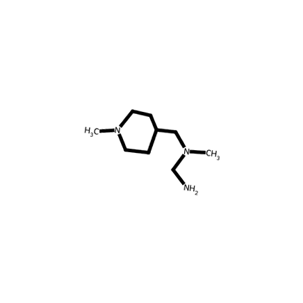 CN1CCC(CN(C)CN)CC1